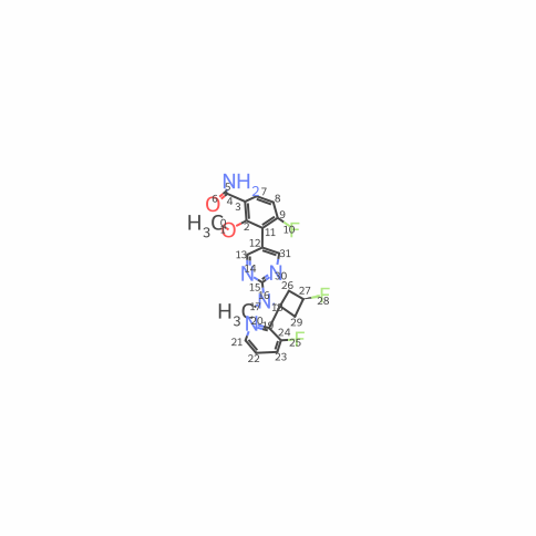 COc1c(C(N)=O)ccc(F)c1-c1cnc(N(C)[C@]2(c3ncccc3F)C[C@@H](F)C2)nc1